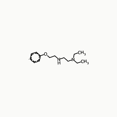 CCN(CC)CCNCCOc1cc[c]cc1